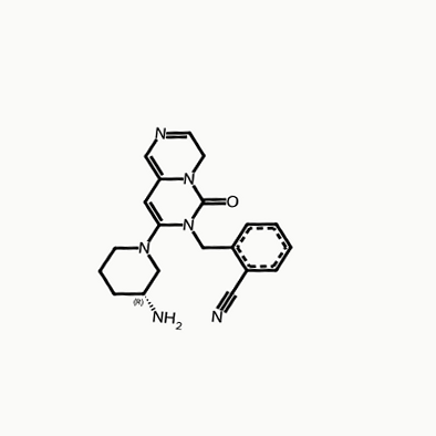 N#Cc1ccccc1CN1C(=O)N2CC=NC=C2C=C1N1CCC[C@@H](N)C1